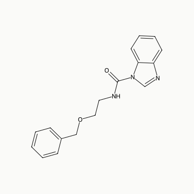 O=C(NCCOCc1ccccc1)n1cnc2ccccc21